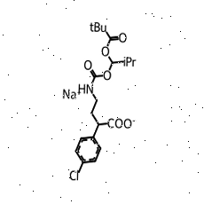 CC(C)C(OC(=O)NCCC(C(=O)[O-])c1ccc(Cl)cc1)OC(=O)C(C)(C)C.[Na+]